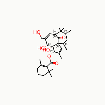 CC1=C[C@]23C(=O)[C@@H](C=C(CO)[C@@H](O)[C@]2(O)[C@H]1OC(=O)C1=C(C)CCCC1(C)C)C(C)(C)[C@@H](C)C[C@H]3C